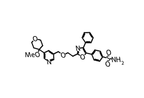 COC1(c2cncc(COCCc3nc(-c4ccccc4)c(-c4ccc(S(N)(=O)=O)cc4)o3)c2)CCOCC1